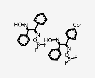 ON=C(C(=NOB(F)F)c1ccccc1)c1ccccc1.ON=C(C(=NOB(F)F)c1ccccc1)c1ccccc1.[Co]